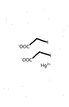 O=C([O-])CI.O=C([O-])CI.[Hg+2]